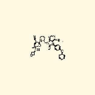 CC(C)(/C=C(/C#N)C(=O)N1CCC[C@H]1Cn1c(=O)n(-c2ccc(Oc3ccccc3)cc2)c2c(N)ncnc21)NC1COC1